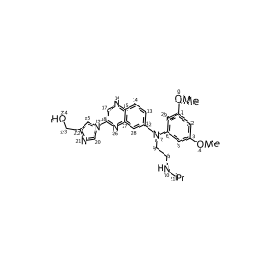 COc1cc(OC)cc(N(CCNC(C)C)c2ccc3ncc(-n4cnc(CO)c4)nc3c2)c1